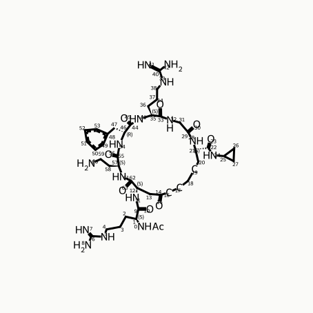 CC(=O)N[C@@H](CCCNC(=N)N)C(=O)N[C@H]1CC(=O)CCCCC[C@@H](C(=O)NC2CC2)NC(=O)CNC(=O)[C@H](CCCNC(=N)N)NC(=O)[C@@H](Cc2ccccc2)NC(=O)[C@H](CCN)NC1=O